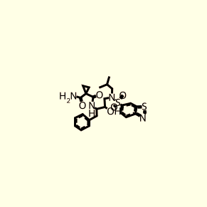 CC(C)CN(CC(O)C(Cc1ccccc1)NC(=O)C1(C(N)=O)CC1)S(=O)(=O)c1ccc2ncsc2c1